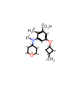 CCN(c1cc(OC2CC(C)C2)cc(C(=O)O)c1C)C1CCOCC1